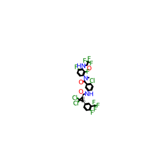 CN(C(=O)c1cc(NC(=O)[C@H]2[C@H](c3ccc(F)c(C(F)(F)F)c3)C2(Cl)Cl)ccc1Cl)c1ccc(F)c(NC(=O)C(F)(F)F)c1F